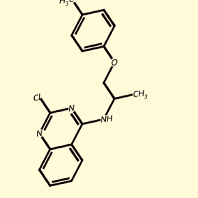 Cc1ccc(OCC(C)Nc2nc(Cl)nc3ccccc23)cc1